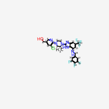 C[C@@H]1CN(c2ncc(CO)cc2Cl)CCN1c1nc2cc(C(F)(F)F)cc(NCc3cc(F)c(F)c(F)c3)c2[nH]1